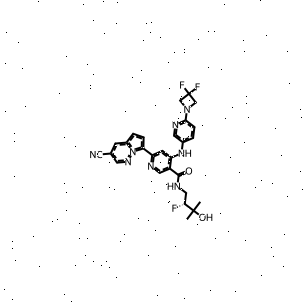 CC(C)(O)[C@H](F)CNC(=O)c1cnc(-c2ccc3cc(C#N)cnn23)cc1Nc1ccc(N2CC(F)(F)C2)nc1